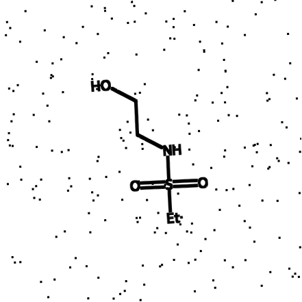 C[CH]S(=O)(=O)NCCO